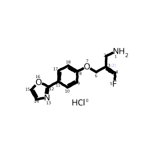 Cl.NC/C(=C/F)COc1ccc(-c2ncco2)cc1